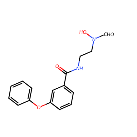 O=CN(O)CCNC(=O)c1cccc(Oc2ccccc2)c1